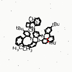 CC(C)(C)c1ccc(N2c3cc(C(C)(C)C)ccc3B3c4ccc5cc4N(c4ccc(C(C)(C)C)cc4-c4ccccc4C5(C)C)c4cc(N5c6ccccc6C6(C)CCC56C)cc2c43)c(-c2ccccc2)c1